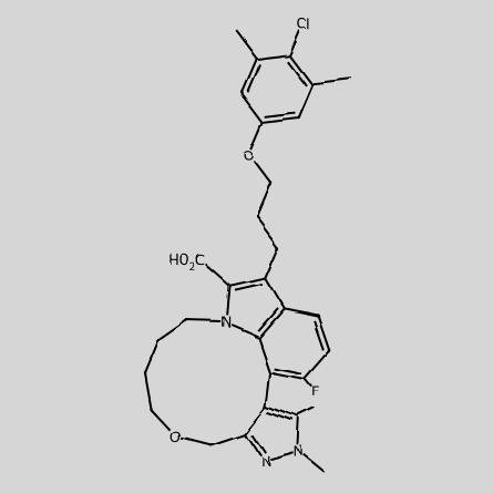 Cc1cc(OCCCc2c(C(=O)O)n3c4c(c(F)ccc24)-c2c(nn(C)c2C)COCCCC3)cc(C)c1Cl